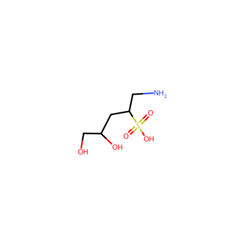 NCC(CC(O)CO)S(=O)(=O)O